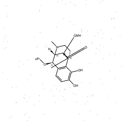 CCCO[C@@H]1c2ccc(O)c(O)c2[C@@]23CCN(C)[C@@H]1C2C=C(OC)C(=O)C3